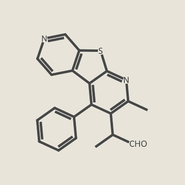 Cc1nc2sc3cnccc3c2c(-c2ccccc2)c1C(C)C=O